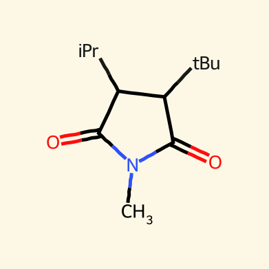 CC(C)C1C(=O)N(C)C(=O)C1C(C)(C)C